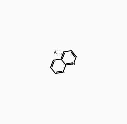 [AlH3].[c]1cccc2cccnc12